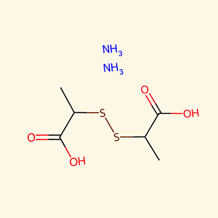 CC(SSC(C)C(=O)O)C(=O)O.N.N